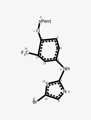 CCCCCOc1ccc(Nc2ncc(Br)s2)cc1C(F)(F)F